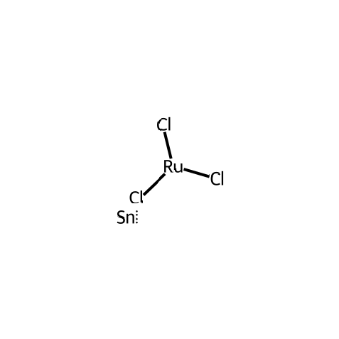 [Cl][Ru]([Cl])[Cl].[Sn]